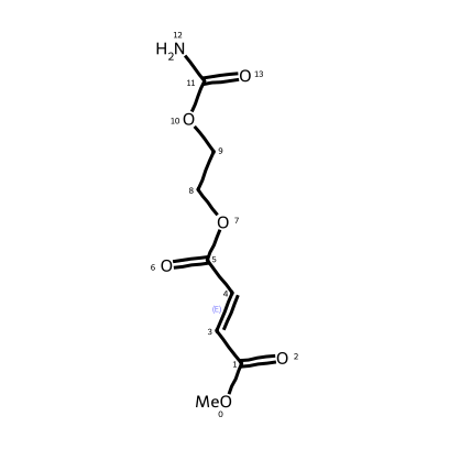 COC(=O)/C=C/C(=O)OCCOC(N)=O